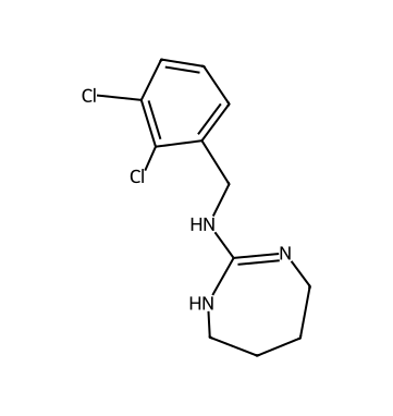 Clc1cccc(CNC2=NCCCCN2)c1Cl